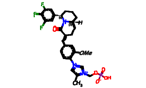 COc1cc(C=C2CC[C@@H]3CCC[C@@H](c4cc(F)c(F)c(F)c4)N3C2=O)ccc1-n1cc(C)[n+](COP(=O)([O-])O)c1